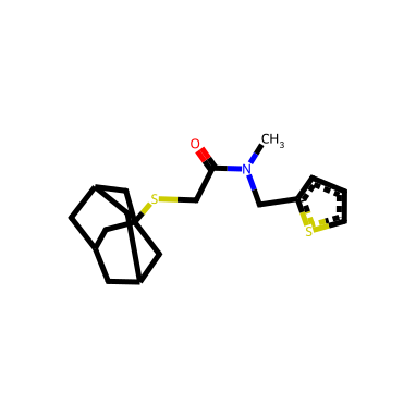 CN(Cc1cccs1)C(=O)CSC12CC3CC(CC(C3)C1)C2